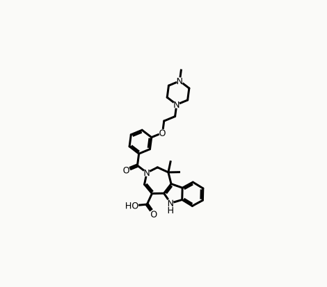 CN1CCN(CCOc2cccc(C(=O)N3C=C(C(=O)O)c4[nH]c5ccccc5c4C(C)(C)C3)c2)CC1